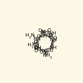 CC(O)[C@@H]1NC(=O)[C@H](CCCCN)NC(=O)[C@@H](Cc2c[nH]c3ccccc23)NC(=O)[C@H](Cc2c[nH]c3ccccc23)NC(=O)[C@H](Cc2ccccc2)NC(=O)CCCNC(=O)CCCN(CC(N)=O)C(=O)[C@H](Cc2ccccc2)NC1=O